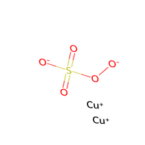 O=S(=O)([O-])O[O-].[Cu+].[Cu+]